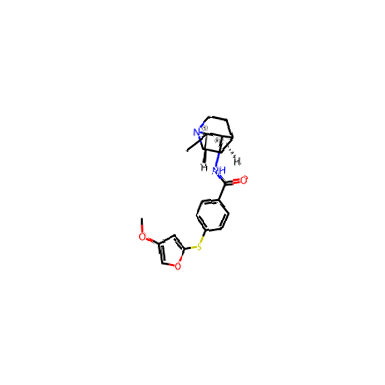 COc1coc(Sc2ccc(C(=O)N[C@@H]3C4CCN(CC4)[C@H]3C)cc2)c1